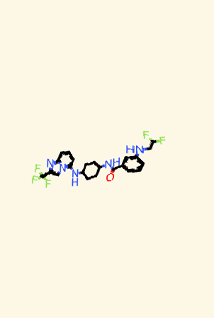 O=C(NC1CCC(Nc2cccc3nc(C(F)(F)F)cn23)CC1)c1cccc(NCC(F)F)c1